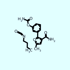 CCCCN=C=O.Cc1cc(C(N)=O)c(-c2cccc(OC(N)=O)c2)o1